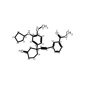 COC(=O)c1cccc(C#CC2(c3ccc(OC)c(OC4CCCC4)c3)CCCC(=O)C2)c1